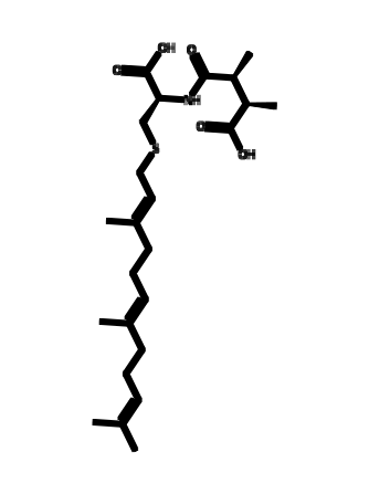 CC(C)=CCC/C(C)=C/CC/C(C)=C/CSC[C@H](NC(=O)[C@@H](C)[C@@H](C)C(=O)O)C(=O)O